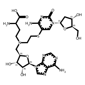 Nc1nc(=O)n([C@@H]2C[C@H](O)[C@@H](CO)O2)cc1SCCN(CCC(N)C(=O)O)C[C@H]1O[C@@H](n2cnc3c(N)ncnc32)[C@H](O)[C@@H]1O